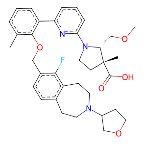 COC[C@H]1N(c2cccc(-c3cccc(C)c3OCc3ccc4c(c3F)CCN(C3CCOC3)CC4)n2)CC[C@@]1(C)C(=O)O